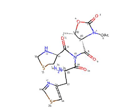 CC(=O)ON1C(=O)O[C@@H](C)[C@H]1C(=O)N(C(=O)C1CSCN1)C(=O)[C@@H](N)Cc1cscn1